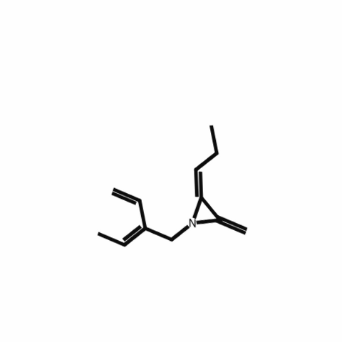 C=C/C(=C\C)CN1C(=C)/C1=C\CC